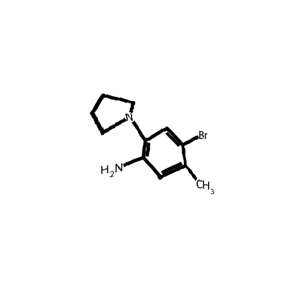 Cc1cc(N)c(N2CCCC2)cc1Br